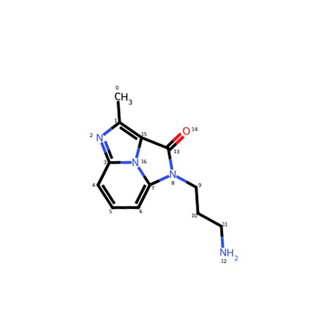 Cc1nc2cccc3n(CCCN)c(=O)c1n23